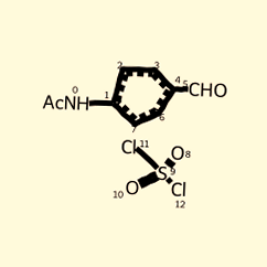 CC(=O)Nc1ccc(C=O)cc1.O=S(=O)(Cl)Cl